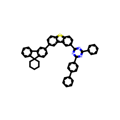 c1ccc(-c2ccc(-c3nc(-c4ccccc4)nc(-c4ccc5sc6ccc(-c7ccc8c(c7)-c7ccccc7C87CCCCC7)cc6c5c4)n3)cc2)cc1